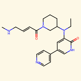 CCN(c1cc(-c2ccncc2)c[nH]c1=O)C1CCCN(C(=O)/C=C/CNC)C1